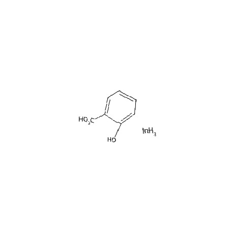 O=C(O)c1ccccc1O.[InH3]